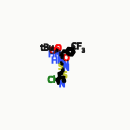 CC(C)(C)OC(=O)N[C@@H](Cc1cccc(C(F)(F)F)c1)C(=O)Nc1nnc(-c2cc3c(Cl)cncc3s2)s1